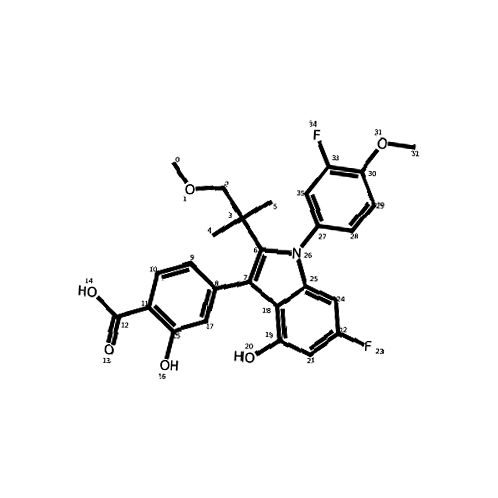 COCC(C)(C)c1c(-c2ccc(C(=O)O)c(O)c2)c2c(O)cc(F)cc2n1-c1ccc(OC)c(F)c1